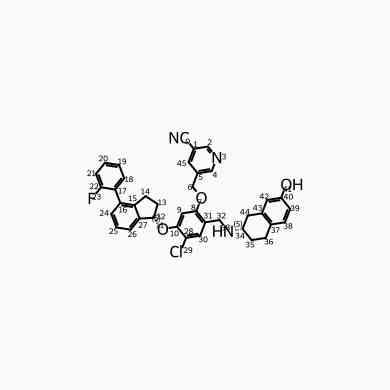 N#Cc1cncc(COc2cc(O[C@H]3CCc4c(-c5ccccc5F)cccc43)c(Cl)cc2CN[C@H]2CCc3ccc(O)cc3C2)c1